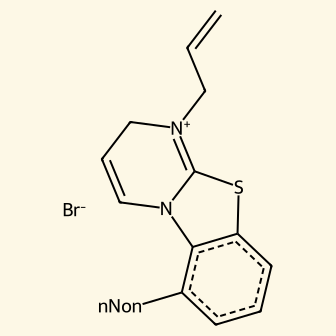 C=CC[N+]1=C2Sc3cccc(CCCCCCCCC)c3N2C=CC1.[Br-]